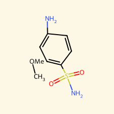 COC.Nc1ccc(S(N)(=O)=O)cc1